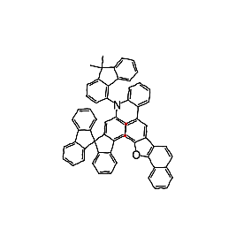 CC1(C)c2ccccc2-c2c(N(c3ccc4c(c3)C3(c5ccccc5-c5ccccc53)c3ccccc3-4)c3ccccc3-c3ccc4oc5c6ccccc6ccc5c4c3)cccc21